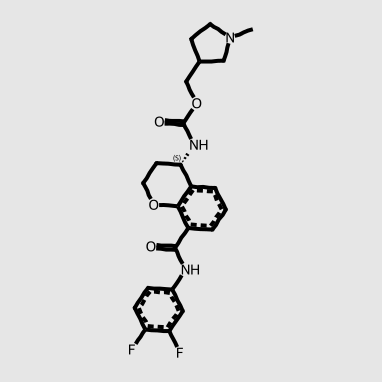 CN1CCC(COC(=O)N[C@H]2CCOc3c(C(=O)Nc4ccc(F)c(F)c4)cccc32)C1